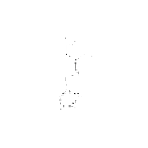 CCOC(=O)C/C(C)=N\Cc1ccco1